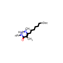 CCCCCCCCCCCCCCCC/C(=C(\C)C(=O)NCCC)N(C)C